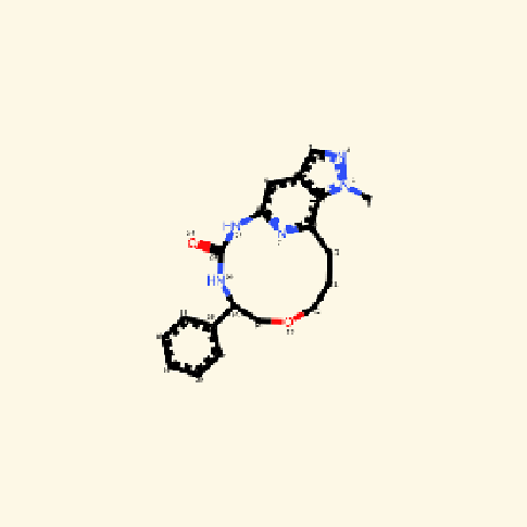 Cn1ncc2cc3nc(c21)CCCOCC(c1ccccc1)NC(=O)N3